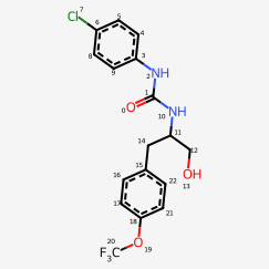 O=C(Nc1ccc(Cl)cc1)NC(CO)Cc1ccc(OC(F)(F)F)cc1